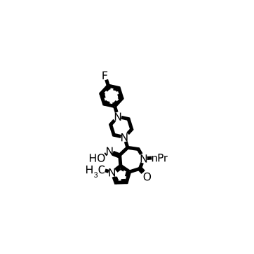 CCCN1CC(N2CCN(c3ccc(F)cc3)CC2)C(=NO)c2c(ccn2C)C1=O